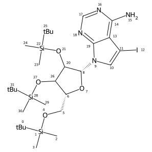 CC(C)(C)[Si](C)(C)OC[C@H]1O[C@@H](n2cc(I)c3c(N)ncnc32)C(O[Si](C)(C)C(C)(C)C)C1O[Si](C)(C)C(C)(C)C